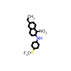 C=Cc1ccc2c([N+](=O)[O-])c(Nc3ccc(SC(F)(F)F)cc3)ccc2c1